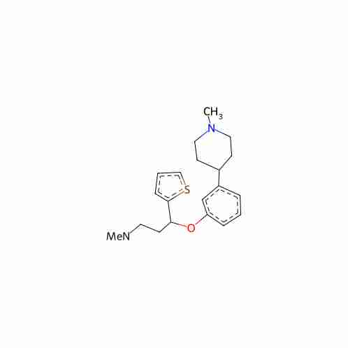 CNCCC(Oc1cccc(C2CCN(C)CC2)c1)c1cccs1